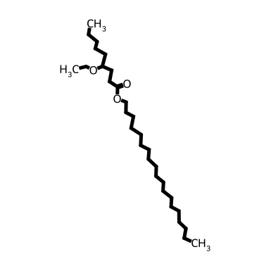 CCCCCCCCCCCCCCCCCCCOC(=O)CCC(CCCCC)OCC